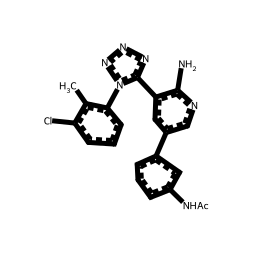 CC(=O)Nc1cccc(-c2cnc(N)c(-c3nnnn3-c3cccc(Cl)c3C)c2)c1